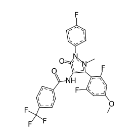 COc1cc(F)c(-c2c(NC(=O)c3ccc(C(F)(F)F)cc3)c(=O)n(-c3ccc(F)cc3)n2C)c(F)c1